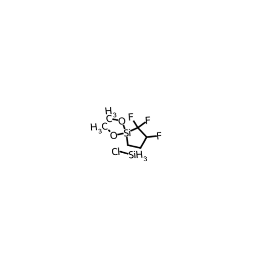 CO[Si]1(OC)CCC(F)C1(F)F.[SiH3]Cl